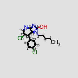 CCCCCn1c(O)nc2ncc(Cl)c(-c3ccc(Cl)cc3)c21